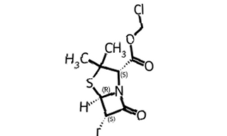 CC1(C)S[C@@H]2[C@@H](I)C(=O)N2[C@H]1C(=O)OCCl